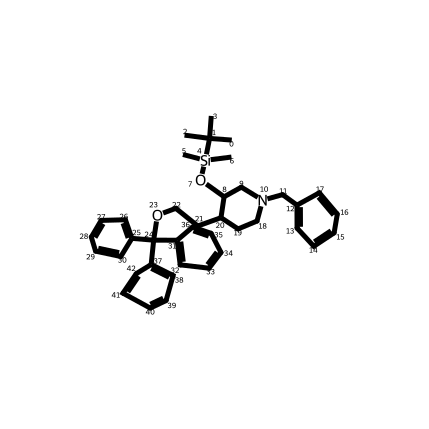 CC(C)(C)[Si](C)(C)OC1CN(Cc2ccccc2)CCC1CCOC(c1ccccc1)(c1ccccc1)c1ccccc1